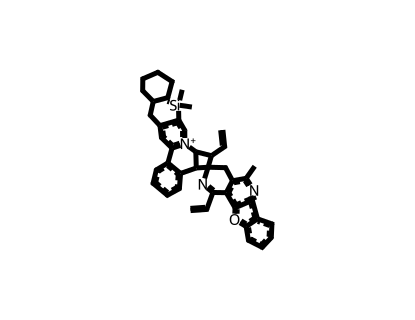 C=CC1=NC2(Cc3c(C)nc4c(oc5ccccc54)c31)C(C=C)C1C2c2ccccc2-c2cc(CC3CCCCC3)c([Si](C)(C)C)c[n+]21